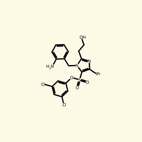 CC(C)c1nc(CCO)n(Cc2ccccc2N)c1S(=O)(=O)Oc1cc(Cl)cc(Cl)c1